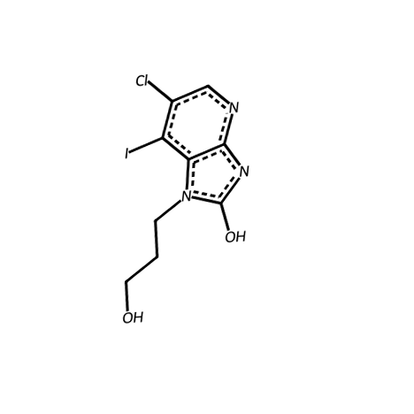 OCCCn1c(O)nc2ncc(Cl)c(I)c21